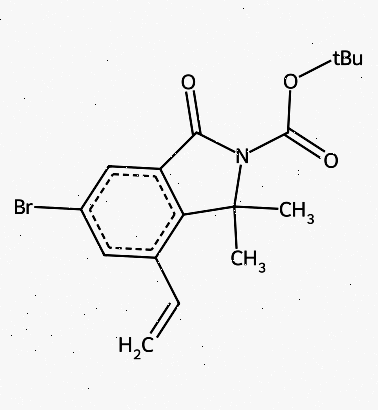 C=Cc1cc(Br)cc2c1C(C)(C)N(C(=O)OC(C)(C)C)C2=O